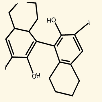 OC1=C(c2c(O)c(I)cc3c2CCCC3)C2CCCCC2C=C1I